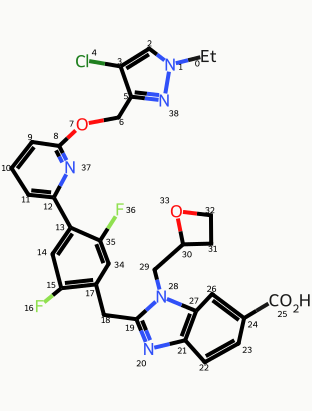 CCn1cc(Cl)c(COc2cccc(-c3cc(F)c(Cc4nc5ccc(C(=O)O)cc5n4CC4CCO4)cc3F)n2)n1